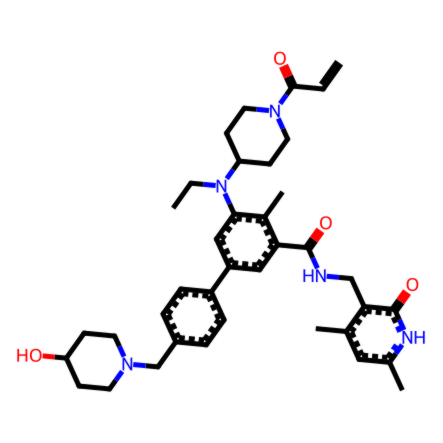 C=CC(=O)N1CCC(N(CC)c2cc(-c3ccc(CN4CCC(O)CC4)cc3)cc(C(=O)NCc3c(C)cc(C)[nH]c3=O)c2C)CC1